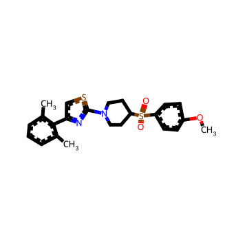 COc1ccc(S(=O)(=O)C2CCN(c3nc(-c4c(C)cccc4C)cs3)CC2)cc1